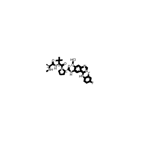 CN[C@@H](C)C(=O)N[C@H](C(=O)N1CCC[C@H]1C(=O)Nc1cc2c(Nc3ccc(F)cc3F)ncnc2cc1OC)C(C)(C)C.Cl